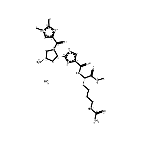 CNC(=O)[C@H](CCCCNC(=N)N)NC(=O)c1csc([C@@H]2C[C@H](N)CN2C(=O)c2cn(C)c(C)n2)n1.Cl